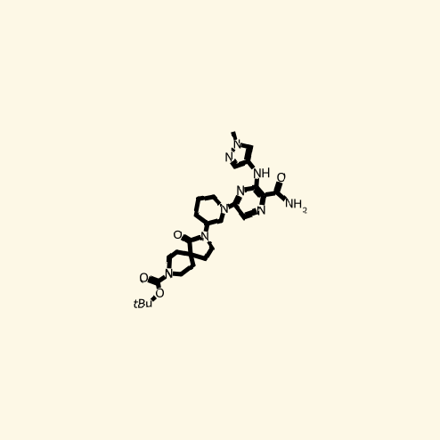 Cn1cc(Nc2nc(N3CCCC(N4CCC5(CCN(C(=O)OC(C)(C)C)CC5)C4=O)C3)cnc2C(N)=O)cn1